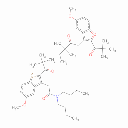 CCC(C)(C)C(=O)Cc1c(C(=O)C(C)(C)C)oc2ccc(OC)cc12.CCCCN(CCCC)C(=O)Cc1c(C(=O)C(C)(C)C)sc2ccc(OC)cc12